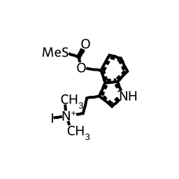 CSC(=O)Oc1cccc2[nH]cc(CC[N+](C)(C)I)c12